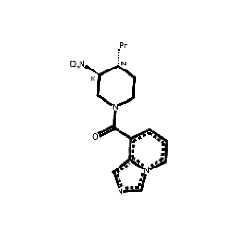 CC(C)[C@@H]1CCN(C(=O)c2cccn3cncc23)C[C@H]1[N+](=O)[O-]